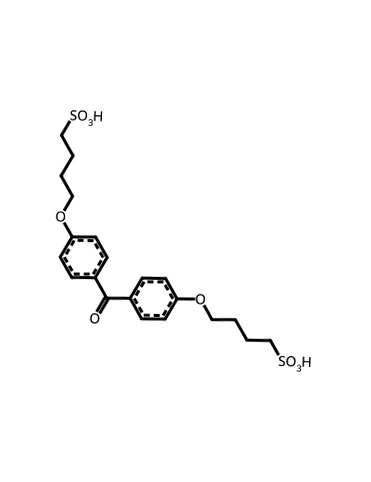 O=C(c1ccc(OCCCCS(=O)(=O)O)cc1)c1ccc(OCCCCS(=O)(=O)O)cc1